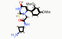 COc1ccc(-c2cc(=O)[nH]c(=S)n2CC(=O)N[C@H]2C[C@H](N)C2)c(OC)c1